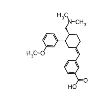 COc1cccc([C@H]2C/C(=C\c3cccc(C(=O)O)c3)CC[C@@H]2CN(C)C)c1